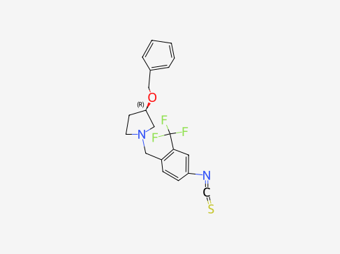 FC(F)(F)c1cc(N=C=S)ccc1CN1CC[C@@H](OCc2ccccc2)C1